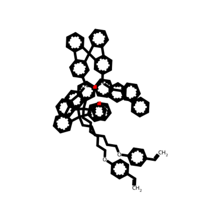 C=Cc1ccc(OCCCCCCC2(c3ccccc3)c3ccccc3-c3ccc(N(c4ccc(-c5ccccc5)cc4)c4ccc5c(c4)C4(c6ccccc6-5)c5ccccc5-c5ccc(N(c6ccc(-c7ccccc7)cc6)c6ccc7c(c6)C(CCCCCCOc6ccc(C=C)cc6)(c6ccccc6)c6ccccc6-7)cc54)cc32)cc1